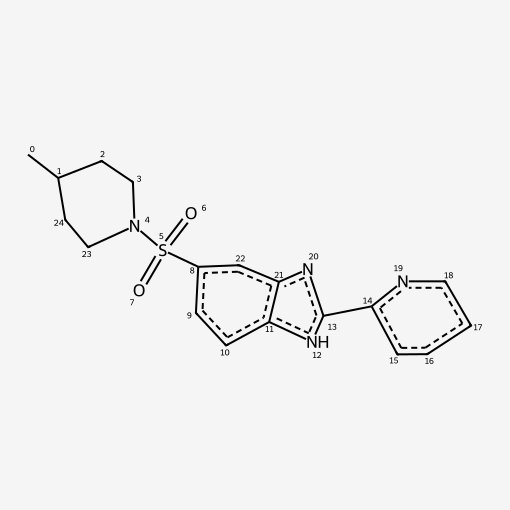 CC1CCN(S(=O)(=O)c2ccc3[nH]c(-c4ccccn4)nc3c2)CC1